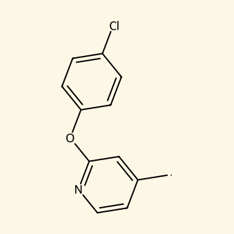 [CH2]c1ccnc(Oc2ccc(Cl)cc2)c1